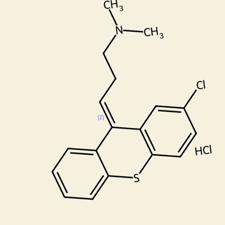 CN(C)CC/C=C1/c2ccccc2Sc2ccc(Cl)cc21.Cl